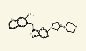 Cc1cc2ncccc2cc1Cc1nnc2ccc(N3CC[C@@H](N4CCOCC4)C3)nn12